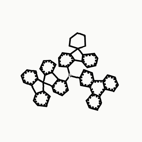 c1ccc2c(c1)-c1c(N(c3ccc4c5ccccc5c5ccccc5c4c3)c3cccc4c3-c3ccccc3C43c4ccccc4-c4ccccc43)cccc1C21CCCCC1